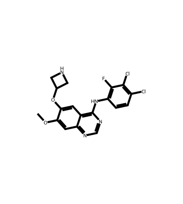 COc1cc2ncnc(Nc3ccc(Cl)c(Cl)c3F)c2cc1OC1CNC1